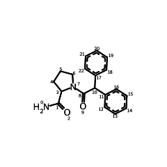 NC(=O)C1CCCN1C(=O)C(c1ccccc1)c1ccccc1